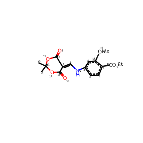 CCOC(=O)c1ccc(NC=C2C(=O)OC(C)(C)OC2=O)cc1OC